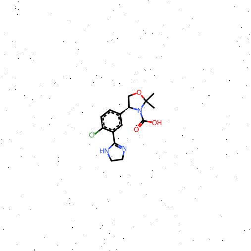 CC1(C)OC[C@H](c2ccc(Cl)c(C3=NCCN3)c2)N1C(=O)O